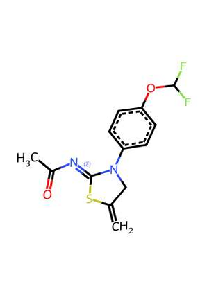 C=C1CN(c2ccc(OC(F)F)cc2)/C(=N/C(C)=O)S1